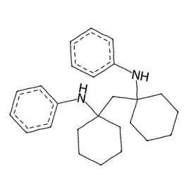 c1ccc(NC2(CC3(Nc4ccccc4)CCCCC3)CCCCC2)cc1